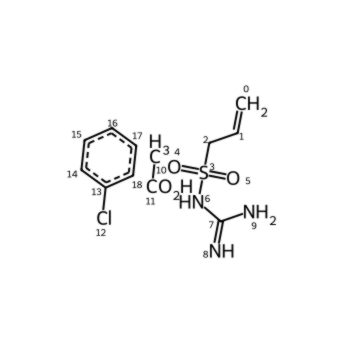 C=CCS(=O)(=O)NC(=N)N.CC(=O)O.Clc1ccccc1